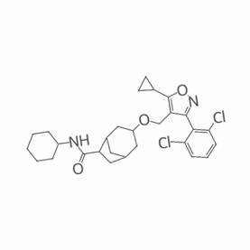 O=C(NC1CCCCC1)C1CC2CC(OCc3c(-c4c(Cl)cccc4Cl)noc3C3CC3)CC1C2